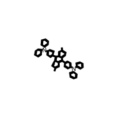 Cc1ccc2c(-c3ccc(N(c4ccccc4)c4ccccc4)cc3)c3cc(C)ccc3c(-c3ccc(N(c4ccccc4)c4ccccc4)cc3)c2c1